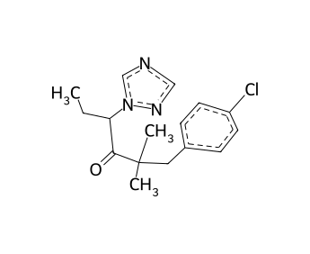 CCC(C(=O)C(C)(C)Cc1ccc(Cl)cc1)n1cncn1